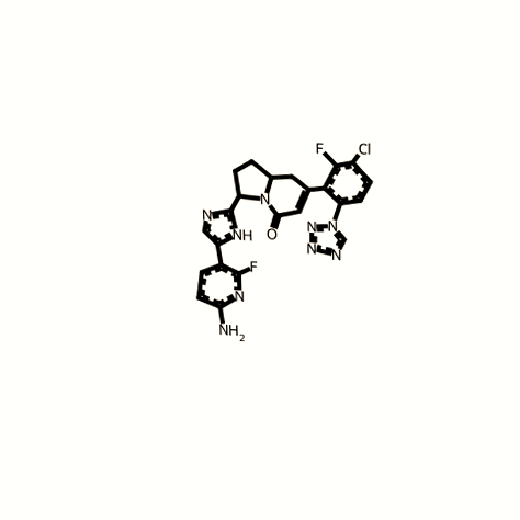 Nc1ccc(-c2cnc(C3CCC4CC(c5c(-n6cnnn6)ccc(Cl)c5F)=CC(=O)N43)[nH]2)c(F)n1